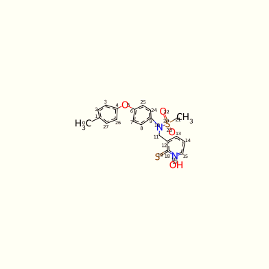 Cc1ccc(Oc2ccc(N(Cc3cccn(O)c3=S)S(C)(=O)=O)cc2)cc1